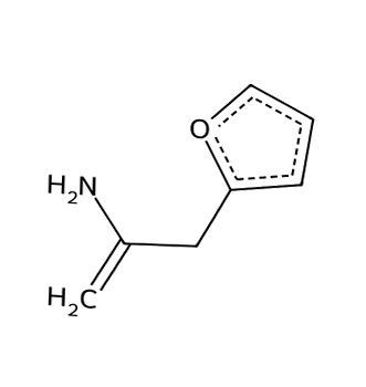 C=C(N)Cc1ccco1